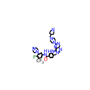 Cc1ccc(C(=O)Nc2cc(N3CCN(C)CC3)c(F)c(C(F)(F)F)c2)cc1Nc1ncnc2cnc(N3CCN(CC4CCN(C)CC4)CC3)nc12